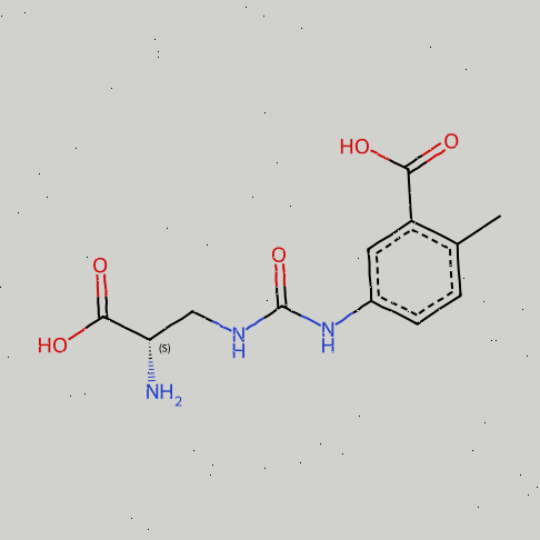 Cc1ccc(NC(=O)NC[C@H](N)C(=O)O)cc1C(=O)O